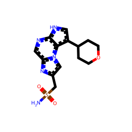 NS(=O)(=O)Cc1cn2c(cnc3[nH]cc(C4CCOCC4)c32)n1